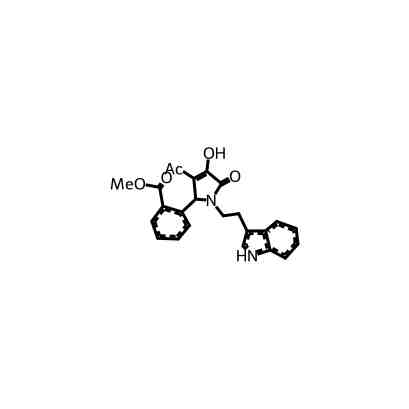 COC(=O)c1ccccc1C1C(C(C)=O)=C(O)C(=O)N1CCc1c[nH]c2ccccc12